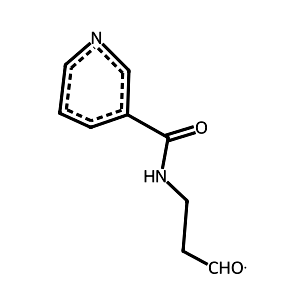 O=[C]CCNC(=O)c1cccnc1